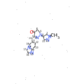 Cn1cc(-n2ccc(=O)c(Cc3ccc4nccn4c3)n2)cn1